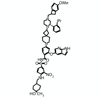 COc1ccc2c(c1)CC2CN1CCN(C2CC3(CCN(c4ccc(C(=O)NS(=O)(=O)c5ccc(NCC6CCC(C)(O)CC6)c([N+](=O)[O-])c5)c(Oc5cnc6[nH]ccc6c5)c4)CC3)C2)[C@H](c2ccccc2C(C)C)C1